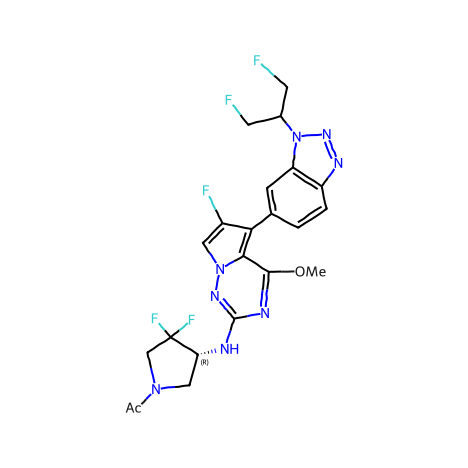 COc1nc(N[C@@H]2CN(C(C)=O)CC2(F)F)nn2cc(F)c(-c3ccc4nnn(C(CF)CF)c4c3)c12